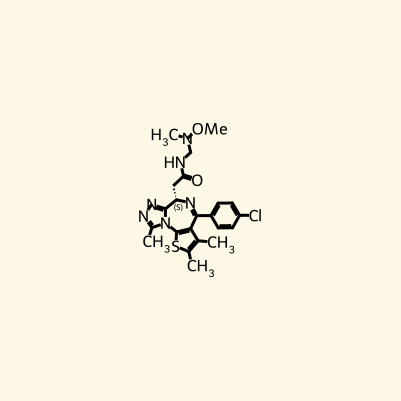 CON(C)CNC(=O)C[C@@H]1N=C(c2ccc(Cl)cc2)c2c(sc(C)c2C)-n2c(C)nnc21